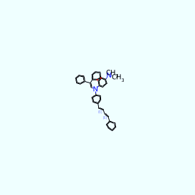 CN(C)c1ccc(N(C=C(c2ccccc2)c2ccccc2)c2ccc(/C=C/C=C/c3ccccc3)cc2)cc1